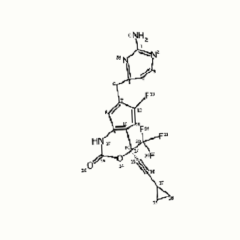 Nc1nccc(Cc2cc3c(cc2F)[C@@](C#CC2CC2)(C(F)(F)F)OC(=O)N3)n1